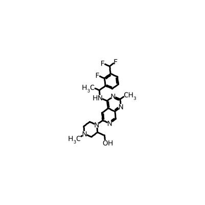 Cc1nc(NC(C)c2cccc(C(F)F)c2F)c2cc(N3CCN(C)CC3CO)ncc2n1